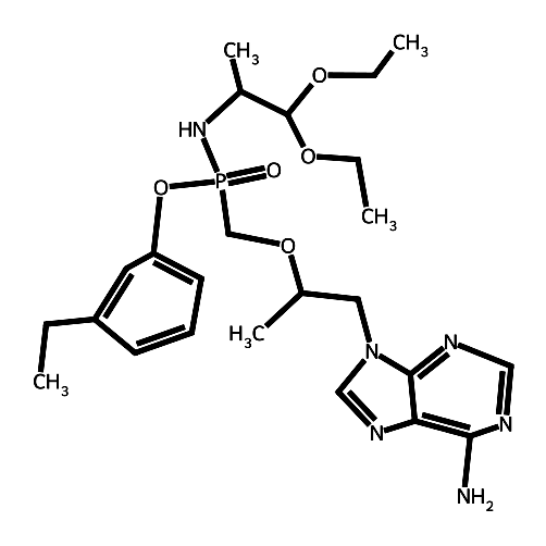 CCOC(OCC)C(C)NP(=O)(COC(C)Cn1cnc2c(N)ncnc21)Oc1cccc(CC)c1